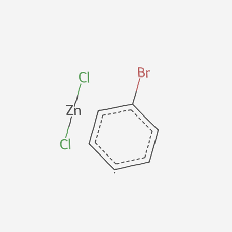 Brc1cc[c]cc1.[Cl][Zn][Cl]